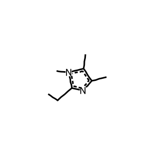 CCc1nc(C)c(C)n1C